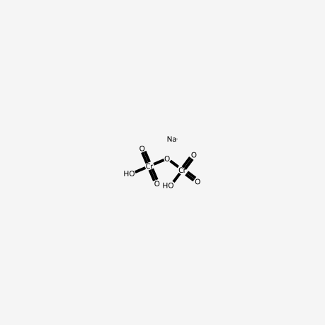 [Na].[O]=[Cr](=[O])([OH])[O][Cr](=[O])(=[O])[OH]